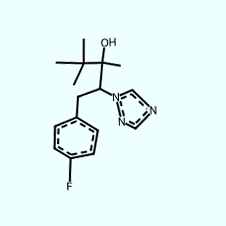 CC(C)(C)C(C)(O)C(Cc1ccc(F)cc1)n1cncn1